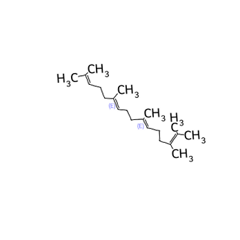 CC(C)=CCC/C(C)=C/CC/C(C)=C/CCC(C)=C(C)C